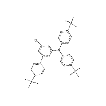 CC(C)(C)c1ccc(N(c2ccc(C(C)(C)C)cc2)c2cc(Cl)cc(C3=CCC(C(C)(C)C)C=C3)c2)cc1